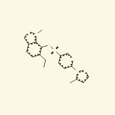 CCc1ccc2cnn(C)c2c1NS(=O)(=O)c1ccc(-n2nccc2C)nc1